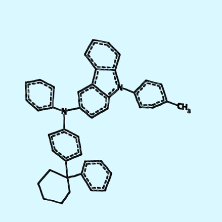 Cc1ccc(-n2c3ccccc3c3cc(N(c4ccccc4)c4ccc(C5(c6ccccc6)CCCCC5)cc4)ccc32)cc1